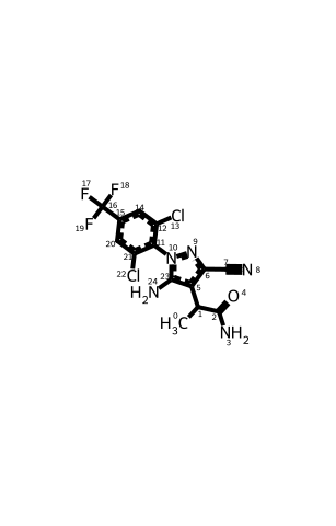 CC(C(N)=O)c1c(C#N)nn(-c2c(Cl)cc(C(F)(F)F)cc2Cl)c1N